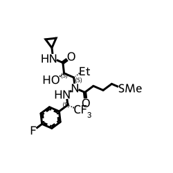 CC[C@@H]([C@H](O)C(=O)NC1CC1)N(N[C@@H](c1ccc(F)cc1)C(F)(F)F)C(=O)CCCSC